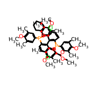 CCOC(=O)COc1c(Cl)ccc(P(c2cc(C)c(OC)c(C)c2)c2cc(C)c(OC)c(C)c2)c1-c1c(P(c2cc(C)c(OC)c(C)c2)c2cc(C)c(OC)c(C)c2)ccc(Cl)c1OC1CCCCC1